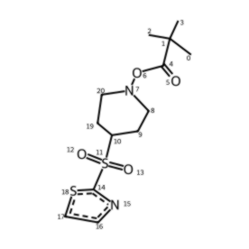 CC(C)(C)C(=O)ON1CCC(S(=O)(=O)c2nccs2)CC1